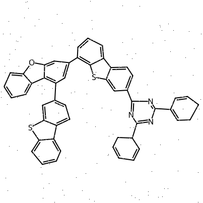 C1=CCC(c2nc(C3=CCCC=C3)nc(-c3ccc4c(c3)sc3c(-c5cc(-c6ccc7c(c6)sc6ccccc67)c6c(c5)oc5ccccc56)cccc34)n2)C=C1